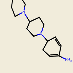 NC1=CCC(N2CCC(N3CCCCC3)CC2)C=C1